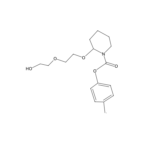 [CH2]c1ccc(OC(=O)N2CCCCC2OCCOCCO)cc1